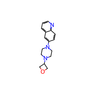 c1cnc2ccc(N3CCN(C4COC4)CC3)cc2c1